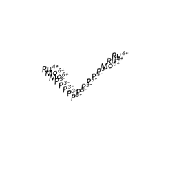 [Mo+6].[Mo+6].[Mo+6].[P-3].[P-3].[P-3].[P-3].[P-3].[P-3].[P-3].[P-3].[P-3].[P-3].[Ru+4].[Ru+4].[Ru+4]